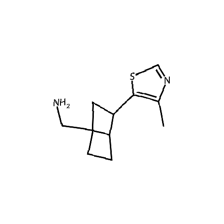 Cc1ncsc1C1CC2(CN)CCC12